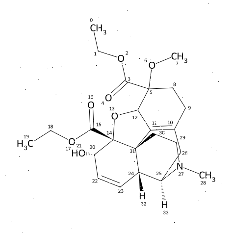 CCOC(=O)C1(OC)CCC2=C3C1O[C@@]1(C(=O)OCC)[C@@H](O)C=C[C@H]4[C@@H](C2)N(C)CC[C@@]341